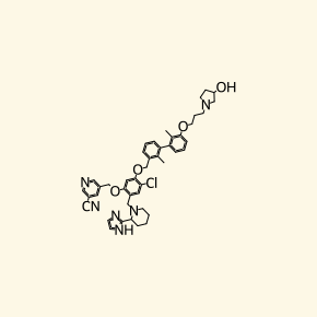 Cc1c(COc2cc(OCc3cncc(C#N)c3)c(CN3CCCCC3c3ncc[nH]3)cc2Cl)cccc1-c1cccc(OCCCN2CC[C@@H](O)C2)c1C